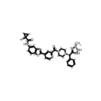 CN1N=C([C@@H](c2ccccc2)N2CCN(C(=O)c3cc(-c4nc5cc(NC(=O)C6(F)CC6)ccc5o4)ccn3)CC2)NN1